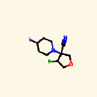 N#CC1(N2CCC(I)CC2)COCC1F